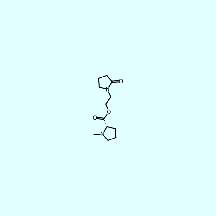 CN1CCC[C@H]1C(=O)OCCN1CCCC1=O